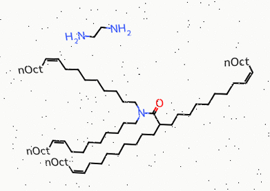 CCCCCCCC/C=C\CCCCCCCCC(CCCCCCCC/C=C\CCCCCCCC)C(=O)N(CCCCCCCC/C=C\CCCCCCCC)CCCCCCCC/C=C\CCCCCCCC.NCCN